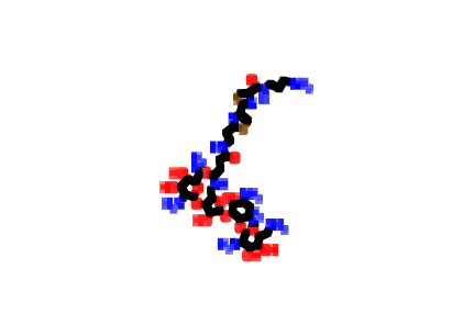 NCCCNC(=O)c1csc(-c2csc(CCNC(=O)CCC(=O)NCC3OC(OC4C(O)C(N)CC(N)C4OC4OC(CN)C(O)C(O)C4N)C(O)C3OC3OC(CN)C(O)C(O)C3N)n2)n1